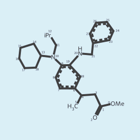 COC(=O)CC(C)c1ccc(N(CC(C)C)C2CCCCC2)c(NCc2ccccc2)c1